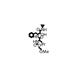 COCCOC(=O)NC(CC(C)C)C(=O)NC(Cc1ccccc1)C(O)C(=O)NC1CC1